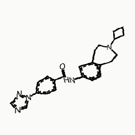 O=C(Nc1ccc2c(c1)CCN(C1CCC1)CC2)c1ccc(-n2cncn2)cc1